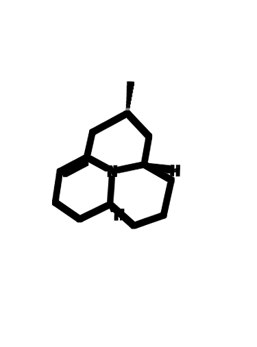 C[C@H]1CC2=CCC[C@@H]3CCC[C@@H](C1)N23